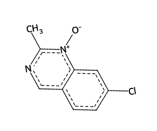 Cc1ncc2ccc(Cl)cc2[n+]1[O-]